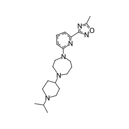 Cc1nc(-c2cccc(N3CCCN(C4CCN(C(C)C)CC4)CC3)n2)no1